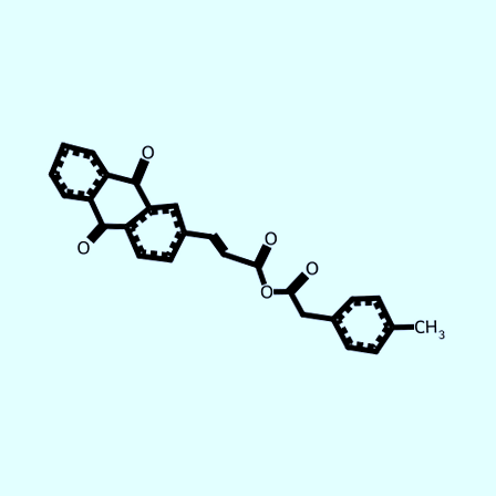 Cc1ccc(CC(=O)OC(=O)C=Cc2ccc3c(c2)C(=O)c2ccccc2C3=O)cc1